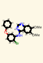 COc1cc2ncnc(Nc3cc(Oc4ccccc4)ccc3Br)c2cc1OC